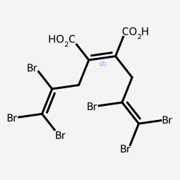 O=C(O)/C(CC(Br)=C(Br)Br)=C(/CC(Br)=C(Br)Br)C(=O)O